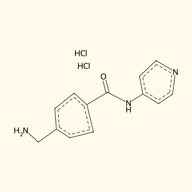 Cl.Cl.NCc1ccc(C(=O)Nc2ccncc2)cc1